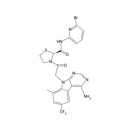 Cc1cc(C(F)(F)F)cc2c3c(N)ncnc3n(CC(=O)N3CCS[C@H]3C(=O)Nc3cccc(Br)n3)c12